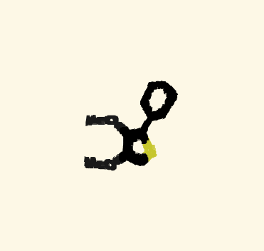 COc1csc(-c2ccccc2)c1OC